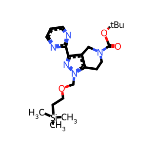 CC(C)(C)OC(=O)N1CCc2c(c(-c3ncccn3)nn2COCC[Si](C)(C)C)C1